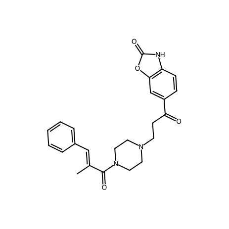 CC(=Cc1ccccc1)C(=O)N1CCN(CCC(=O)c2ccc3[nH]c(=O)oc3c2)CC1